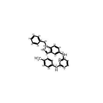 Cc1ccc(Nc2nccc(Nc3ccc4c(cnn4Cc4ccccc4)c3)n2)cc1